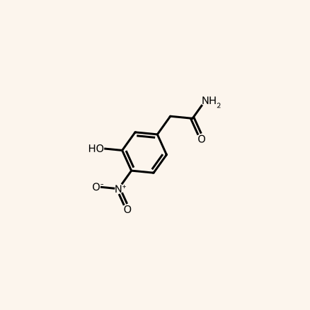 NC(=O)Cc1ccc([N+](=O)[O-])c(O)c1